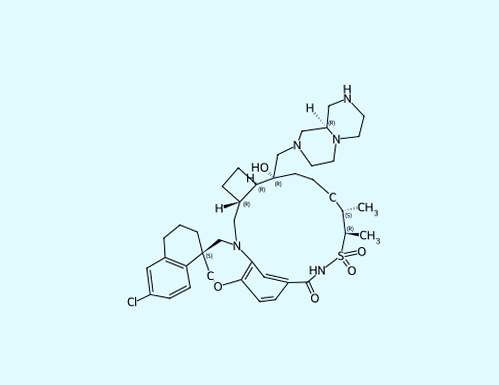 C[C@@H]1[C@@H](C)CCC[C@](O)(CN2CCN3CCNC[C@@H]3C2)[C@@H]2CC[C@H]2CN2C[C@@]3(CCCc4cc(Cl)ccc43)COc3ccc(cc32)C(=O)NS1(=O)=O